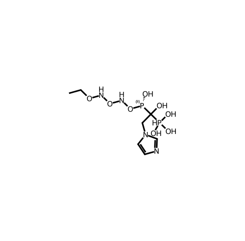 CCONONO[P@](O)C(O)(Cn1ccnc1)[PH](O)(O)O